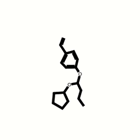 C=Cc1ccc(OC(CCC)OC2CCCC2)cc1